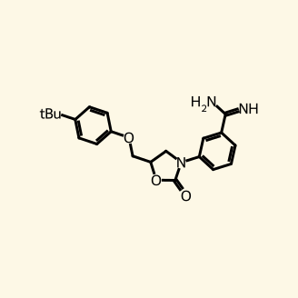 CC(C)(C)c1ccc(OCC2CN(c3cccc(C(=N)N)c3)C(=O)O2)cc1